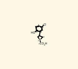 O=C(O)N1CC(c2cc(Cl)ccc2O)C1